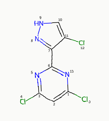 Clc1cc(Cl)nc(-c2n[nH]cc2Cl)n1